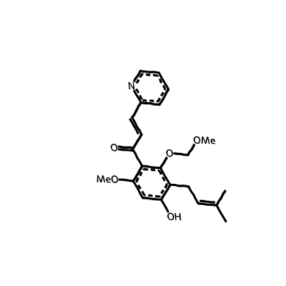 COCOc1c(CC=C(C)C)c(O)cc(OC)c1C(=O)/C=C/c1ccccn1